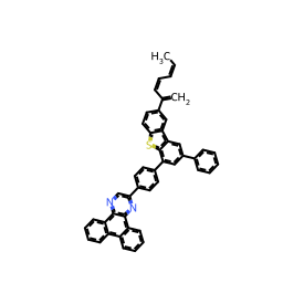 C=C(/C=C\C=C/C)c1ccc2sc3c(-c4ccc(-c5cnc6c7ccccc7c7ccccc7c6n5)cc4)cc(-c4ccccc4)cc3c2c1